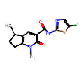 C[C@@H]1CCc2c1cc(C(=O)Nc1ncc(F)s1)c(=O)n2C